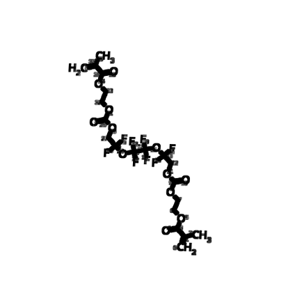 C=C(C)C(=O)OCCOC(=O)OCC(F)(F)OC(F)(F)C(F)(F)OC(F)(F)COC(=O)OCCOC(=O)C(=C)C